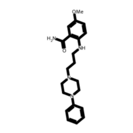 COc1ccc(NCCCN2CCN(c3ccccc3)CC2)c(C(N)=O)c1